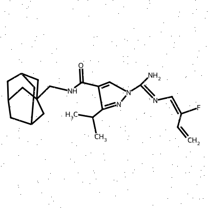 C=C/C(F)=C\N=C(/N)n1cc(C(=O)NCC23CC4CC(CC(C4)C2)C3)c(C(C)C)n1